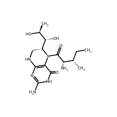 CC[C@H](C)[C@H](N)C(=O)N1c2c(nc(N)[nH]c2=O)NC[C@@H]1[C@@H](O)[C@H](C)O